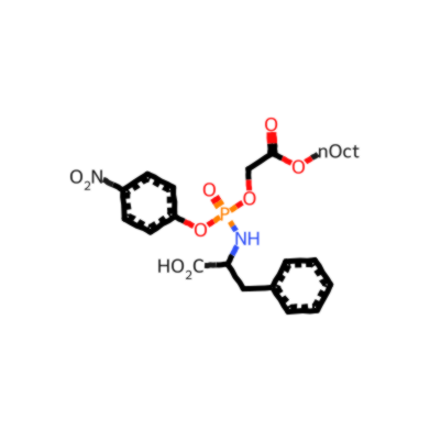 CCCCCCCCOC(=O)COP(=O)(NC(Cc1ccccc1)C(=O)O)Oc1ccc([N+](=O)[O-])cc1